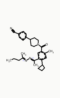 CCC/C(C)=N/N=C(\C)c1cc(C(=O)N2CCC(c3ccc(C#N)cc3)CC2)c(C)cc1C1CCC1